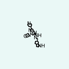 C(=N\Nc1cc(N2CCOCC2)n2nc(-c3ccncc3)cc2n1)/c1ccc2cc[nH]c2c1